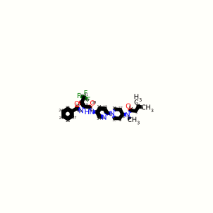 CC(C)CC(=O)N(C)C1CCN(c2ccc(NC(=O)c3nc(-c4ccccc4)oc3C(F)(F)F)cn2)CC1